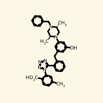 Cc1ccc(C(=O)O)c(-n2nnnc2-c2ccccc2Cc2cc(O)cc(N3C[C@@H](C)N(Cc4ccccc4)C[C@@H]3C)c2)c1